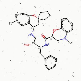 CCc1ccc2c(c1)[C@@H](NC[C@@H](O)[C@H](Cc1ccccc1)NC(=O)[C@@H]1CN(C(C)=O)c3ccccc3O1)CC1(CCCC1)O2